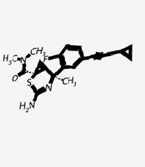 CN(C)C(=O)[C@]12C=C1[C@@](C)(c1cc(C#CC3CC3)ccc1F)N=C(N)S2